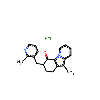 Cc1ncccc1CC1CCc2c(C)c3ccccn3c2C1=O.Cl